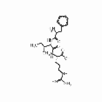 CC[C@H](C)[C@H](NC(=O)[C@@H](N)Cc1ccccc1)C(=O)N[C@@H](CCCNC(=N)N)C(=O)O